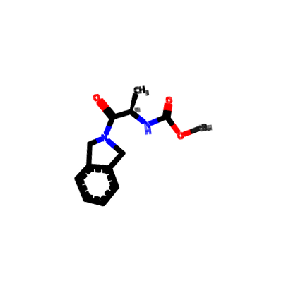 C[C@@H](NC(=O)OC(C)(C)C)C(=O)N1Cc2ccccc2C1